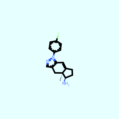 C[C@]12Cc3cnn(-c4ccc(F)cc4)c3C=C1CC[C@H]2N